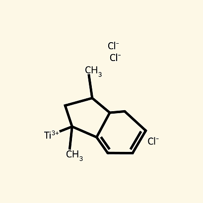 CC1C[C](C)([Ti+3])C2=CC=CCC21.[Cl-].[Cl-].[Cl-]